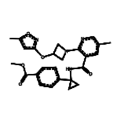 COC(=O)c1ccc(C2(NC(=O)c3cc(C)cnc3N3CC(Oc4cc(C)on4)C3)CC2)cc1